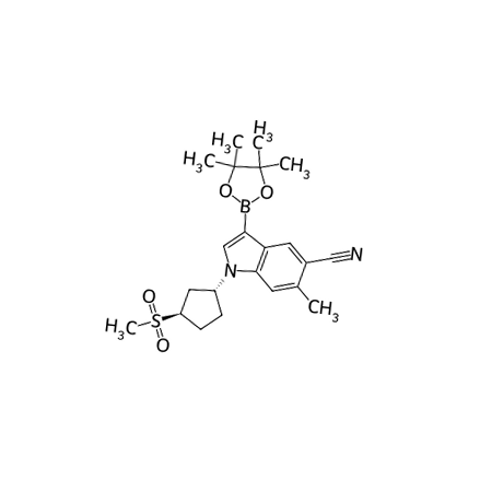 Cc1cc2c(cc1C#N)c(B1OC(C)(C)C(C)(C)O1)cn2[C@@H]1CC[C@@H](S(C)(=O)=O)C1